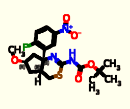 CO[C@@H]1C[C@H]2CSC(NC(=O)OC(C)(C)C)=N[C@@]2(c2cc([N+](=O)[O-])ccc2F)C1